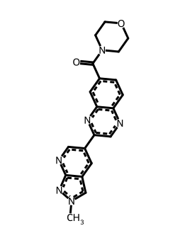 Cn1cc2cc(-c3cnc4ccc(C(=O)N5CCOCC5)cc4n3)cnc2n1